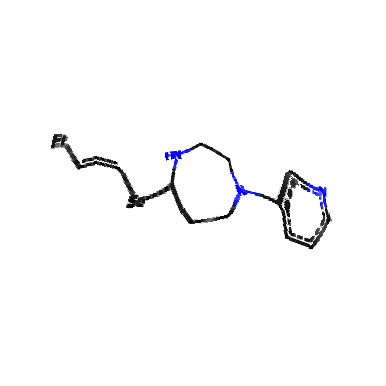 CCC=C[Se]C1CCN(c2cccnc2)CCN1